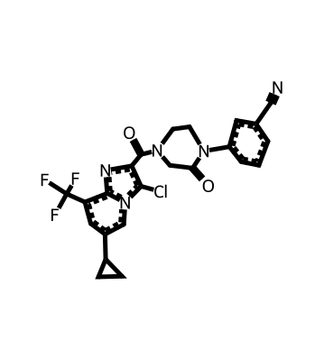 N#Cc1cccc(N2CCN(C(=O)c3nc4c(C(F)(F)F)cc(C5CC5)cn4c3Cl)CC2=O)c1